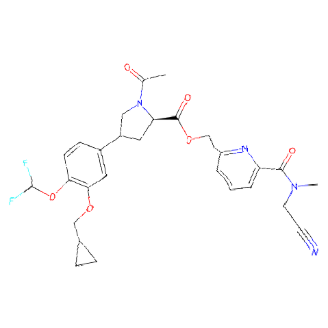 CC(=O)N1CC(c2ccc(OC(F)F)c(OCC3CC3)c2)C[C@@H]1C(=O)OCc1cccc(C(=O)N(C)CC#N)n1